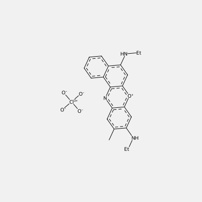 CCNc1cc2[o+]c3cc(NCC)c4ccccc4c3nc2cc1C.[O-][Cl+3]([O-])([O-])[O-]